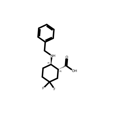 O=C(O)[C@@H]1CC(F)(F)CC[C@H]1NCc1ccccc1